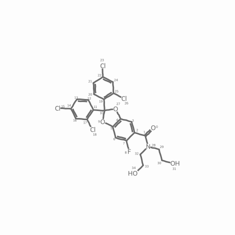 O=C(c1cc2c(cc1F)OC(c1ccc(Cl)cc1Cl)(c1ccc(Cl)cc1Cl)O2)N(CCO)CCO